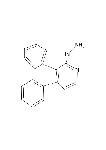 NNc1nccc(-c2ccccc2)c1-c1ccccc1